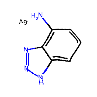 Nc1cccc2[nH]nnc12.[Ag]